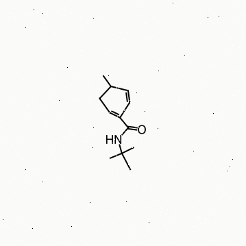 CC1C=CC(C(=O)NC(C)(C)C)=CC1